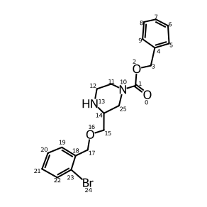 O=C(OCc1ccccc1)N1CCNC(COCc2ccccc2Br)C1